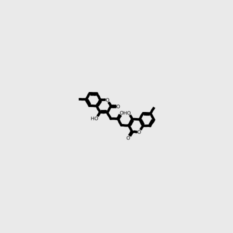 Cc1ccc2oc(=O)c(CC(=O)Cc3c(O)c4cc(C)ccc4oc3=O)c(O)c2c1